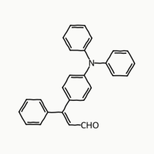 O=CC=C(c1ccccc1)c1ccc(N(c2ccccc2)c2ccccc2)cc1